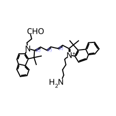 CC1(C)C(/C=C/C=C/C=C2/N(CCC=O)c3ccc4ccccc4c3C2(C)C)=[N+](CCCCN)c2ccc3ccccc3c21